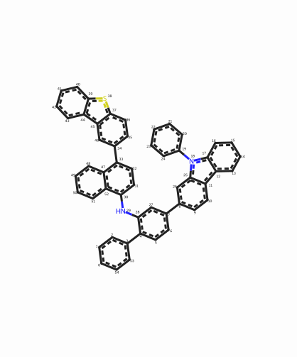 c1ccc(-c2ccc(-c3ccc4c5ccccc5n(-c5ccccc5)c4c3)cc2Nc2ccc(-c3ccc4sc5ccccc5c4c3)c3ccccc23)cc1